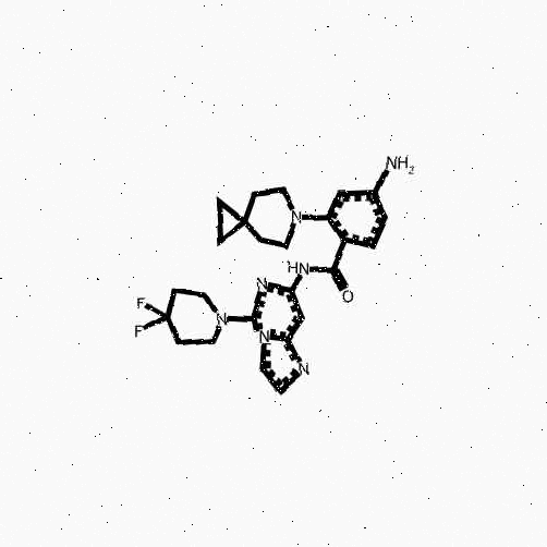 Nc1ccc(C(=O)Nc2cc3nccn3c(N3CCC(F)(F)CC3)n2)c(N2CCC3(CC2)CC3)c1